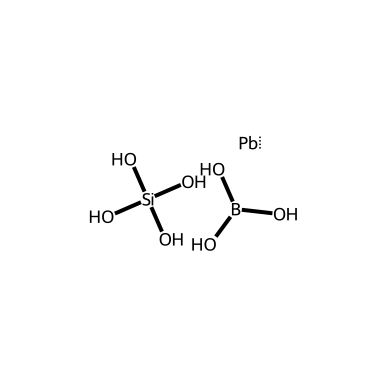 OB(O)O.O[Si](O)(O)O.[Pb]